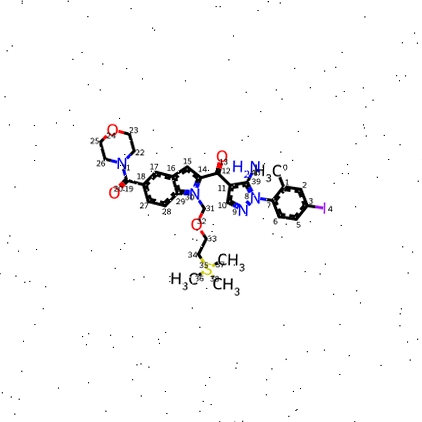 Cc1cc(I)ccc1-n1ncc(C(=O)c2cc3cc(C(=O)N4CCOCC4)ccc3n2COCCS(C)(C)C)c1N